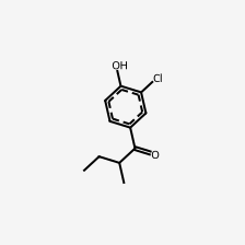 CCC(C)C(=O)c1ccc(O)c(Cl)c1